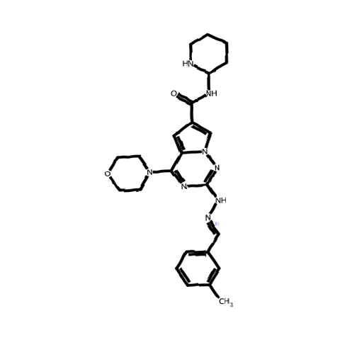 Cc1cccc(/C=N/Nc2nc(N3CCOCC3)c3cc(C(=O)NC4CCCCN4)cn3n2)c1